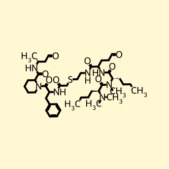 CCCC[C@@H](C(=O)N(C)[C@@H](CCCC)C(=O)NC(CCC=O)C(=O)NCCSCC(=O)NC(Cc1ccccc1)C(=O)N1CCCCC1C(=O)N[C@H](C)CC=O)N(C)C